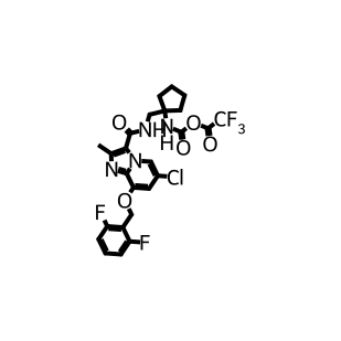 Cc1nc2c(OCc3c(F)cccc3F)cc(Cl)cn2c1C(=O)NCC1(NC(=O)OC(=O)C(F)(F)F)CCCC1